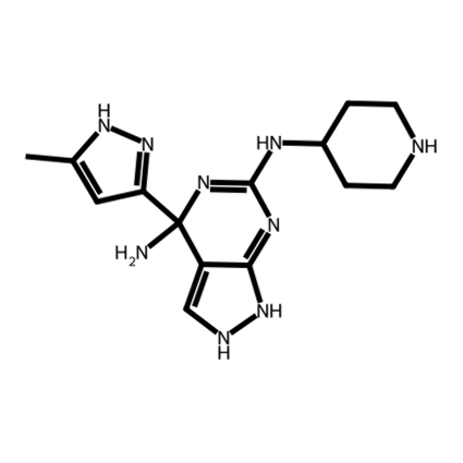 Cc1cc(C2(N)N=C(NC3CCNCC3)N=C3NNC=C32)n[nH]1